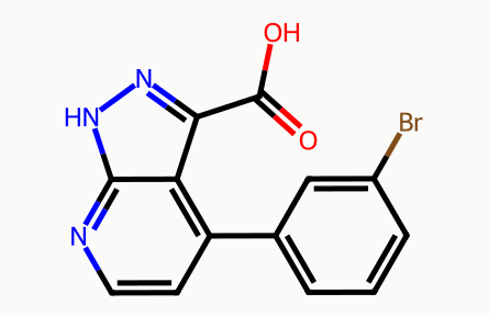 O=C(O)c1n[nH]c2nccc(-c3cccc(Br)c3)c12